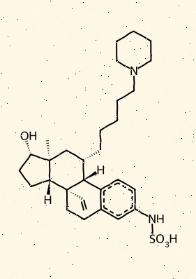 C=C[C@@]12CCc3cc(NS(=O)(=O)O)ccc3[C@H]1[C@@H](CCCCCN1CCCCC1)C[C@@]1(C)[C@H]2CC[C@@H]1O